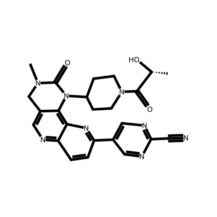 C[C@@H](O)C(=O)N1CCC(N2C(=O)N(C)Cc3cnc4ccc(-c5cnc(C#N)nc5)nc4c32)CC1